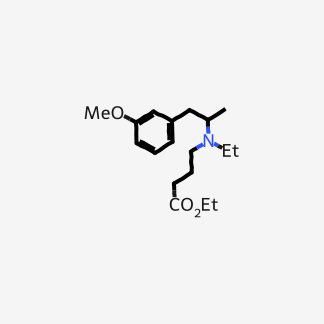 CCOC(=O)CCCN(CC)C(C)Cc1cccc(OC)c1